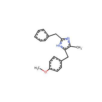 [CH2]c1nc(Cc2ccccc2)[nH]c1Cc1ccc(OC)cc1